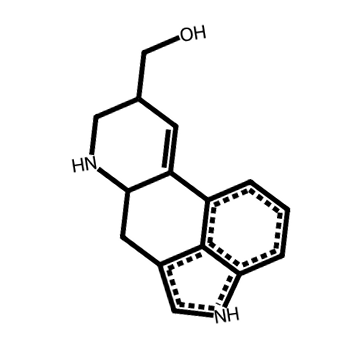 OCC1C=C2c3cccc4[nH]cc(c34)CC2NC1